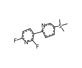 CS(C)(C)c1ccc(-c2ccc(F)nc2F)nc1